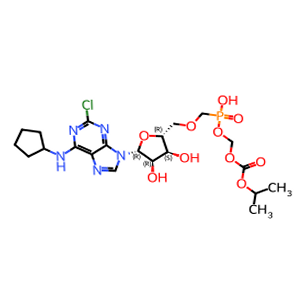 CC(C)OC(=O)OCOP(=O)(O)COC[C@H]1O[C@@H](n2cnc3c(NC4CCCC4)nc(Cl)nc32)[C@H](O)[C@@H]1O